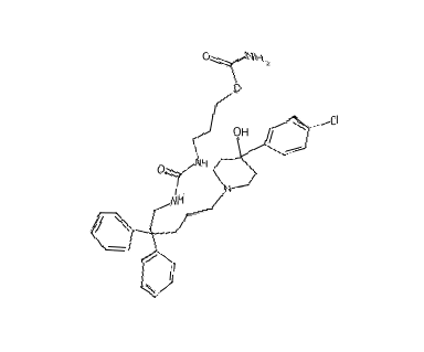 NC(=O)OCCCNC(=O)NCC(CCCN1CCC(O)(c2ccc(Cl)cc2)CC1)(c1ccccc1)c1ccccc1